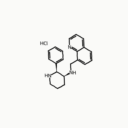 Cl.c1ccc([C@@H]2NCCC[C@@H]2NCc2cccc3cccnc23)cc1